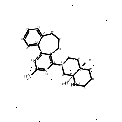 Nc1nc2c(c(N3CC[C@@H]4CCCN[C@H]4C3)n1)CCCc1ccccc1-2